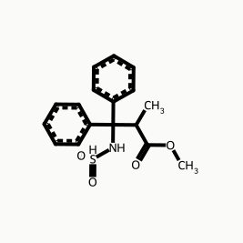 COC(=O)C(C)C(N[SH](=O)=O)(c1ccccc1)c1ccccc1